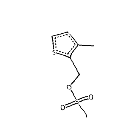 Cc1ccsc1COS(C)(=O)=O